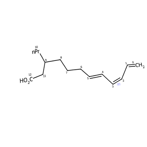 C=C/C=C\C=CCCCC(CCC)CC(=O)O